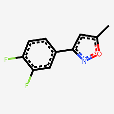 Cc1cc(-c2ccc(F)c(F)c2)no1